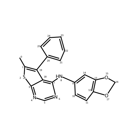 Cc1sc2ncnc(Nc3ccc4c(c3)OCO4)c2c1-c1ccccc1